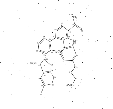 COCCOc1ccc2c(c1)[nH]c1c(C(N)=O)ncc(-c3cccc(N4CC5=C(C=C(F)CC5)C4=O)c3C)c12